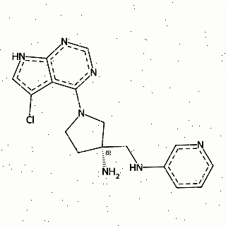 N[C@]1(CNc2cccnc2)CCN(c2ncnc3[nH]cc(Cl)c23)C1